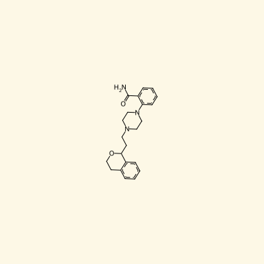 NC(=O)c1ccccc1N1CCN(CCC2OCCc3ccccc32)CC1